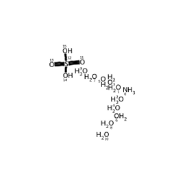 N.O.O.O.O.O.O.O.O.O.O.O=S(=O)(O)O